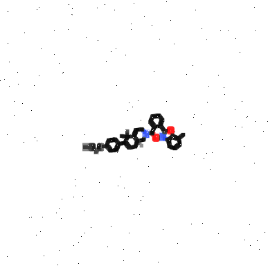 Cc1cccc2nc(-c3ccccc3C(=O)N3CC=C4C(C)(C)C(c5ccc(C(=O)O)cc5)=CC[C@]4(C)C3)oc12